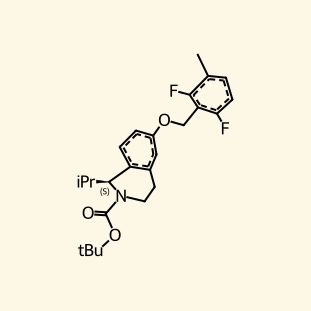 Cc1ccc(F)c(COc2ccc3c(c2)CCN(C(=O)OC(C)(C)C)[C@H]3C(C)C)c1F